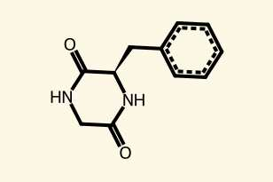 O=C1CNC(=O)[C@@H](Cc2ccccc2)N1